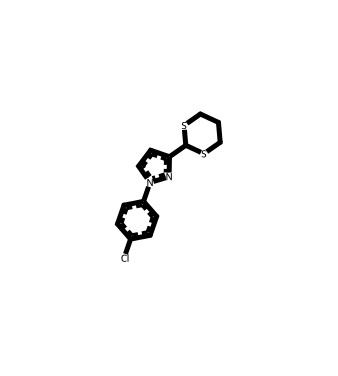 Clc1ccc(-n2ccc(C3SCCCS3)n2)cc1